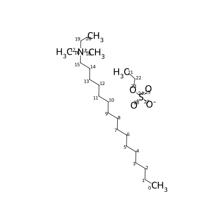 CCCCCCCCCCCCCCCC[N+](C)(C)CC.CCOS(=O)(=O)[O-]